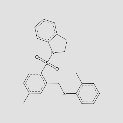 Cc1ccc(S(=O)(=O)N2CCc3ccccc32)c(CSc2ccccc2C)c1